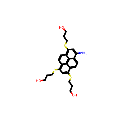 Nc1cc(SCCCO)c2ccc3c(SCCCO)cc(SCCCO)c4ccc1c2c43